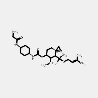 COC1C(OC(=O)N[C@H]2CC[C@H](NC(=O)CN)CC2)CC[C@]2(CO2)C1C(C)(C)OCC=C(C)C